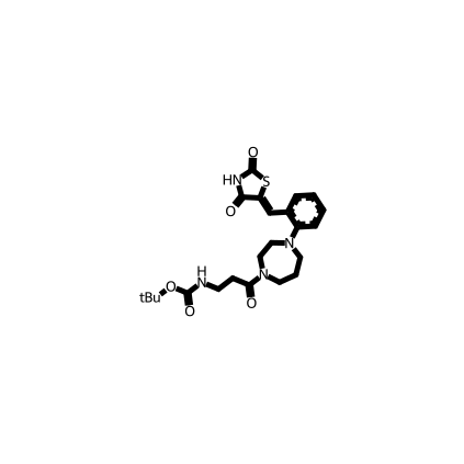 CC(C)(C)OC(=O)NCCC(=O)N1CCCN(c2ccccc2/C=C2\SC(=O)NC2=O)CC1